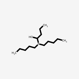 CCCCCN(CCCCC)C(O)CCC